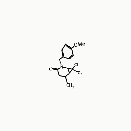 COc1ccc(CN2C(=O)CC(C)C3C2C3(Cl)Cl)cc1